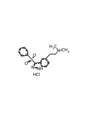 CN(C)CCc1ccc2[nH]nc(S(=O)(=O)c3ccccc3)c2c1.Cl